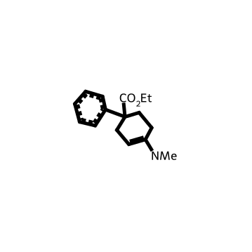 CCOC(=O)C1(c2ccccc2)CC=C(NC)CC1